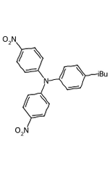 CCC(C)c1ccc(N(c2ccc([N+](=O)[O-])cc2)c2ccc([N+](=O)[O-])cc2)cc1